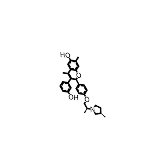 CC1=C(c2cccc(O)c2)C(c2ccc(OC[C@H](C)N3CC[C@@H](C)C3)cc2)Oc2cc(C)c(O)cc21